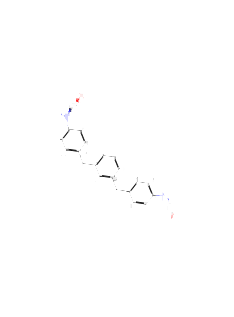 O=C=Nc1ccc(Cc2cccc(Cc3ccc(N=C=O)cc3)c2)cc1